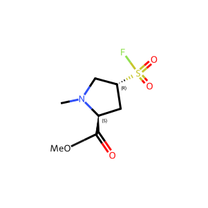 COC(=O)[C@@H]1C[C@@H](S(=O)(=O)F)CN1C